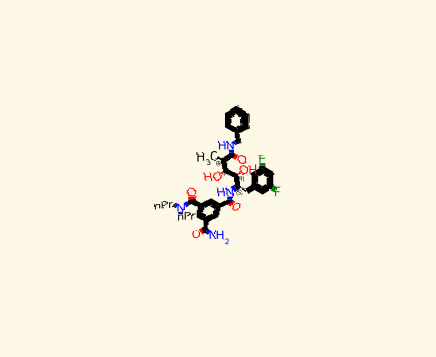 CCCN(CCC)C(=O)c1cc(C(N)=O)cc(C(=O)N[C@@H](Cc2cc(F)cc(F)c2)[C@@H](O)[C@H](O)[C@@H](C)C(=O)NCc2ccccc2)c1